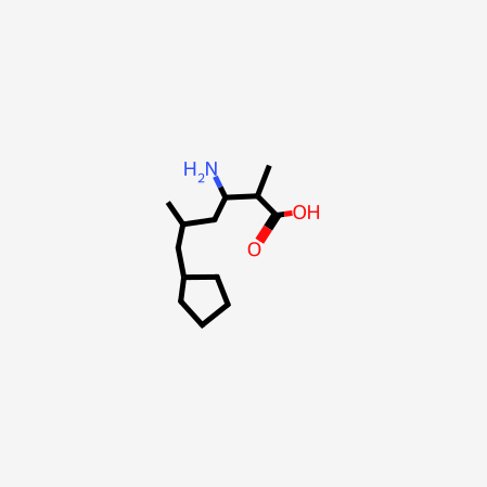 CC(CC1CCCC1)CC(N)C(C)C(=O)O